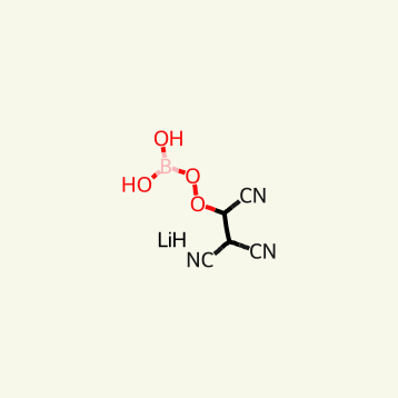 N#CC(C#N)C(C#N)OOB(O)O.[LiH]